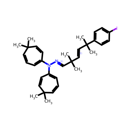 CC1(C)C=CC=C(N(/N=C/C(C)(C)/C=C/C(C)(C)c2ccc(I)cc2)C2=CC=CC(C)(C)C=C2)C=C1